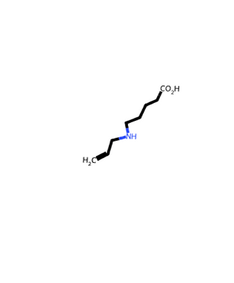 C=CCNCCCCC(=O)O